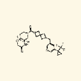 O=C1CO[C@H]2CCN(C(=O)N3CC4(CC(Cc5cncc(C6(C(F)(F)F)CC6)c5)C4)C3)C[C@H]2N1